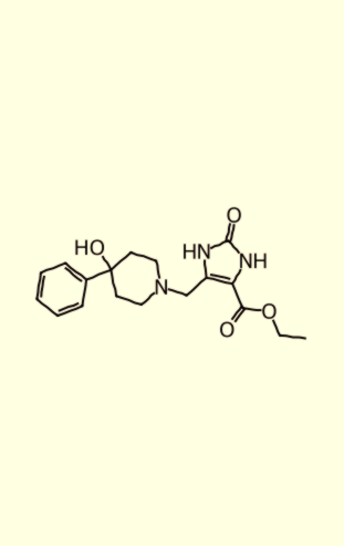 CCOC(=O)c1[nH]c(=O)[nH]c1CN1CCC(O)(c2ccccc2)CC1